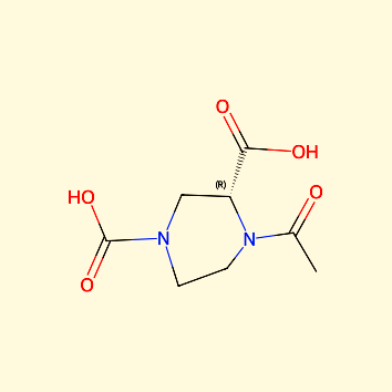 CC(=O)N1CCN(C(=O)O)C[C@@H]1C(=O)O